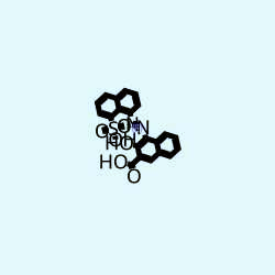 O=C(O)c1cc2ccccc2c(/N=N/c2cccc3cccc(S(=O)(=O)O)c23)c1O